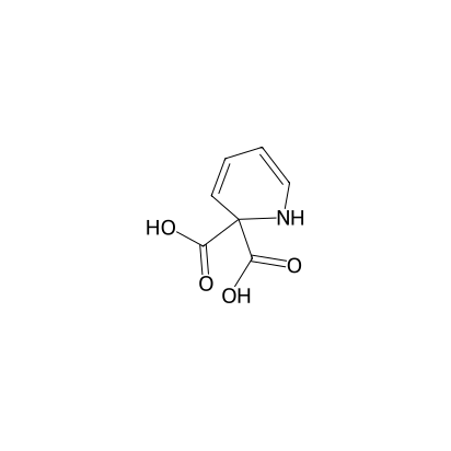 O=C(O)C1(C(=O)O)C=CC=CN1